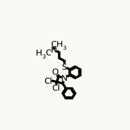 CN(C)CCCSc1ccccc1N1C(=O)C(Cl)(Cl)C1c1ccccc1